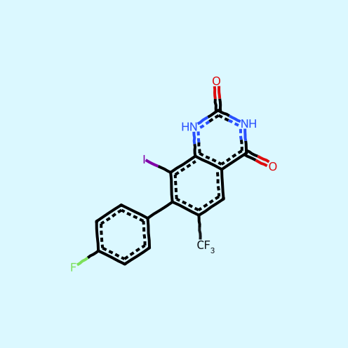 O=c1[nH]c(=O)c2cc(C(F)(F)F)c(-c3ccc(F)cc3)c(I)c2[nH]1